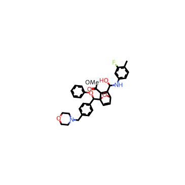 COC(=O)C1=C(C(O)Nc2ccc(C)c(F)c2)C2C=CC1(C(Oc1ccccc1)c1ccc(CN3CCOCC3)cc1)O2